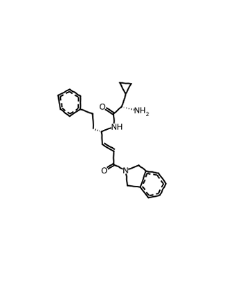 N[C@H](C(=O)N[C@H](/C=C/C(=O)N1Cc2ccccc2C1)CCc1ccccc1)C1CC1